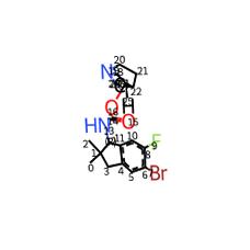 CC1(C)Cc2cc(Br)c(F)cc2[C@@H]1NC(=O)O[C@@H]1CN2CCC1CC2